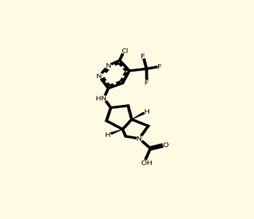 O=C(O)N1C[C@H]2CC(Nc3cc(C(F)(F)F)c(Cl)nn3)C[C@H]2C1